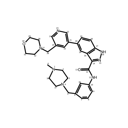 CN1CCN(Cc2cccc(NC(=O)c3n[nH]c4ccc(-c5cncc(CN6CCOCC6)c5)cc34)c2)CC1